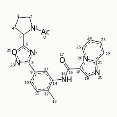 CC(=O)N1CCCC1c1nc(-c2ccc(C)c(NC(=O)c3cnc4ccccn34)c2)no1